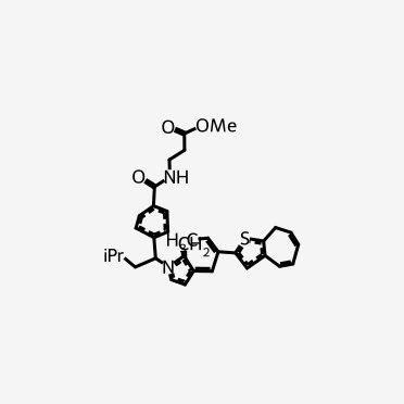 C=c1/c(=C\C(=C/C)c2cc3c(s2)CC=CC=C3)ccn1C(CC(C)C)c1ccc(C(=O)NCCC(=O)OC)cc1